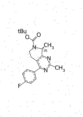 Cc1nc(-c2ccc(F)cc2)c2c(n1)[C@H](C)N(C(=O)OC(C)(C)C)CC2